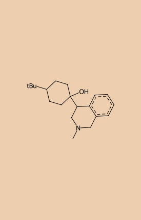 CN1Cc2ccccc2C(C2(O)CCC(C(C)(C)C)CC2)C1